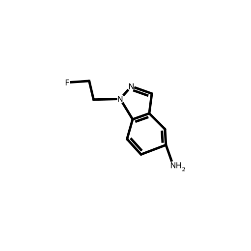 Nc1ccc2c(cnn2CCF)c1